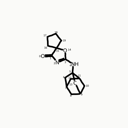 O=C1N=C(NC23CC4CC(CC2C4)C3)OC12CCCC2